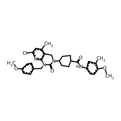 COc1ccc(CN2C(=O)N(C3CCC(C(=O)Nc4ccc(OC)c(C)c4)CC3)Cc3c(C)cc(Cl)nc32)cc1